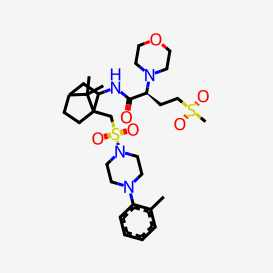 Cc1ccccc1N1CCN(S(=O)(=O)CC23CCC(CC2NC(=O)[C@H](CCS(C)(=O)=O)N2CCOCC2)C3(C)C)CC1